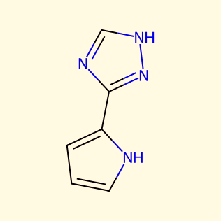 c1c[nH]c(-c2nc[nH]n2)c1